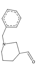 O=CC1CCCN(Cc2ccccc2)C1